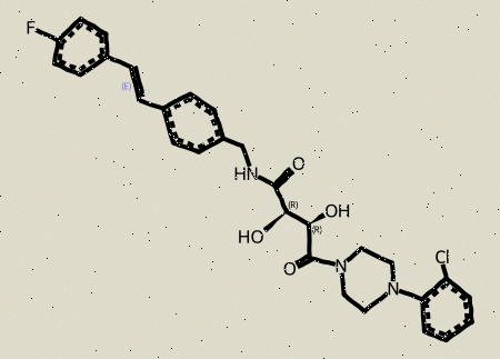 O=C(NCc1ccc(/C=C/c2ccc(F)cc2)cc1)[C@H](O)[C@@H](O)C(=O)N1CCN(c2ccccc2Cl)CC1